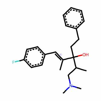 C/C(=C\c1ccc(F)cc1)C(O)(CCc1ccccc1)C(C)CN(C)C